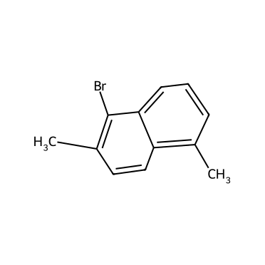 Cc1ccc2c(C)cccc2c1Br